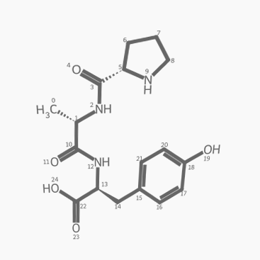 C[C@H](NC(=O)[C@@H]1CCCN1)C(=O)N[C@@H](Cc1ccc(O)cc1)C(=O)O